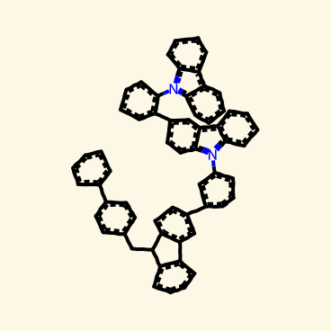 c1ccc(-c2ccc(CC3c4ccccc4-c4cc(-c5cccc(-n6c7ccccc7c7cc(-c8ccccc8-n8c9ccccc9c9ccccc98)ccc76)c5)ccc43)cc2)cc1